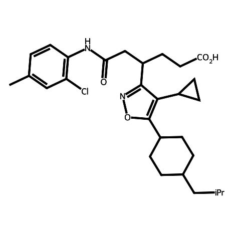 Cc1ccc(NC(=O)CC(CCC(=O)O)c2noc(C3CCC(CC(C)C)CC3)c2C2CC2)c(Cl)c1